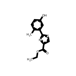 CCOC(=O)c1csc(-c2cc(O)ccc2C)n1